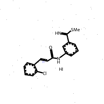 CSC(=N)c1cccc(NC(=O)/C=C/c2ccccc2Cl)c1.I